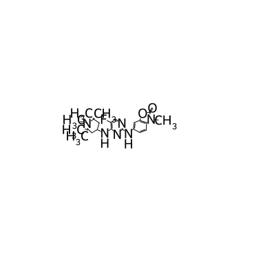 CN1C(C)(C)CC(Nc2nc(Nc3ccc4c(c3)oc(=O)n4C)ncc2F)CC1(C)C